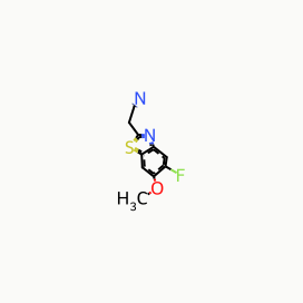 COc1cc2sc(CC#N)nc2cc1F